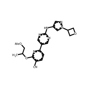 COCC(C)Oc1nc(-c2cnc(Nc3cnn(C4COC4)c3)nc2)ccc1C#N